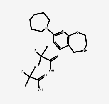 O=C(O)C(F)(F)F.O=C(O)C(F)(F)F.c1cc2c(nc1N1CCCCCC1)OCCNC2